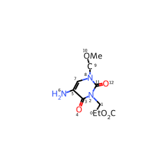 CCOC(=O)Cn1c(=O)c(N)cn(COC)c1=O